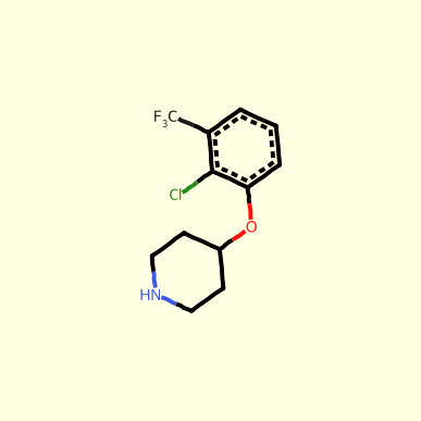 FC(F)(F)c1cccc(OC2CCNCC2)c1Cl